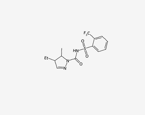 CCC1C=NN(C(=O)NS(=O)(=O)c2ccccc2C(F)(F)F)C1C